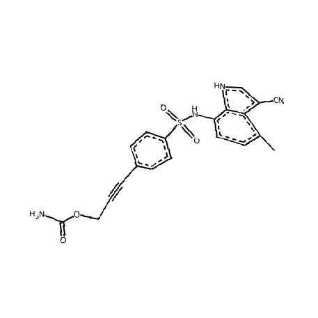 Cc1ccc(NS(=O)(=O)c2ccc(C#CCOC(N)=O)cc2)c2[nH]cc(C#N)c12